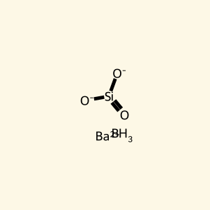 B.O=[Si]([O-])[O-].[Ba+2]